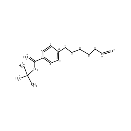 C=C(OC(C)(C)C)c1ccc(CCCCCN=O)cc1